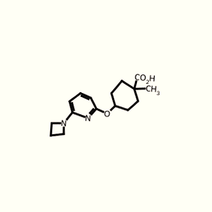 CC1(C(=O)O)CCC(Oc2cccc(N3CCC3)n2)CC1